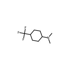 CN(C)C1CCC(C(F)(F)F)CC1